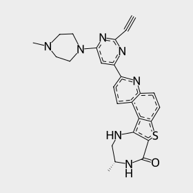 C#Cc1nc(-c2ccc3c(ccc4sc5c(c43)NC[C@@H](C)NC5=O)n2)cc(N2CCN(C)CC2)n1